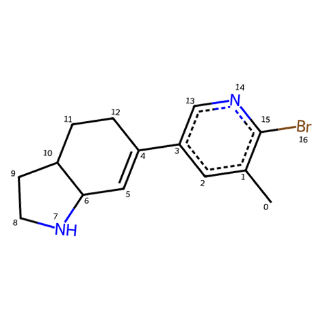 Cc1cc(C2=CC3NCCC3CC2)cnc1Br